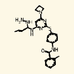 C/C=C/C(NN)Nc1cc(N2CCC2)nc(Sc2ccc(NC(=O)c3ccccc3C)cc2)n1